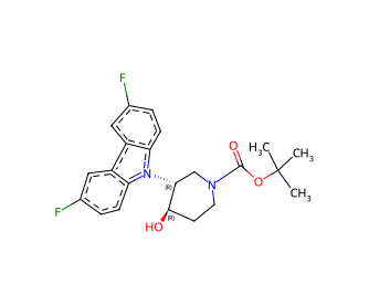 CC(C)(C)OC(=O)N1CC[C@@H](O)[C@H](n2c3ccc(F)cc3c3cc(F)ccc32)C1